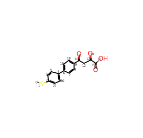 CSc1ccc(-c2ccc(C(=O)CC(=O)C(=O)O)cc2)cc1